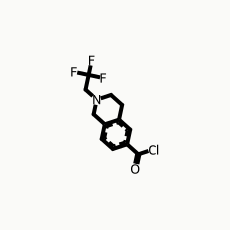 O=C(Cl)c1ccc2c(c1)CCN(CC(F)(F)F)C2